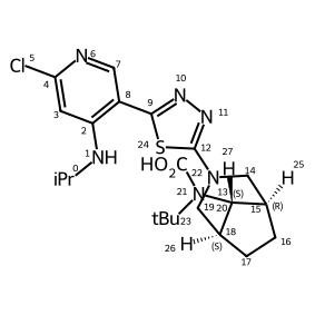 CC(C)Nc1cc(Cl)ncc1-c1nnc(N2C[C@H]3CC[C@@H](C2)[C@@H]3N(C(=O)O)C(C)(C)C)s1